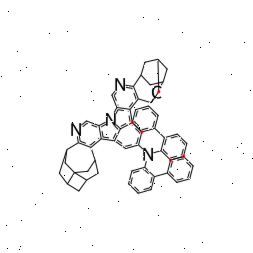 c1ccc(-c2ccccc2N(c2cc3c4c5c(ncc4n4c6cnc7c(c6c(c2)c34)C2CC3CC4CC7CC43C2)C2CC3CC(C2)CC5C3)c2ccccc2-c2ccccc2)cc1